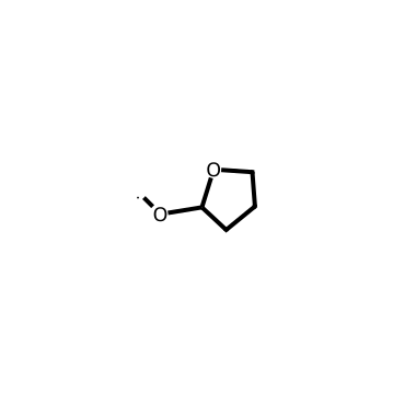 [CH2]OC1CCCO1